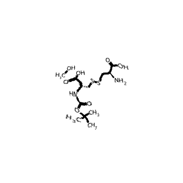 CC(C)(C)OC(=O)N[C@@H](CSSC[C@H](N)C(=O)O)C(=O)O.CO